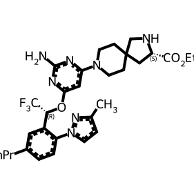 CCCc1ccc(-n2ccc(C)n2)c([C@@H](Oc2cc(N3CCC4(CC3)CN[C@H](C(=O)OCC)C4)nc(N)n2)C(F)(F)F)c1